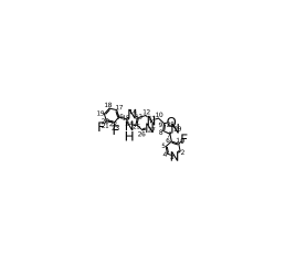 Fc1cnccc1-c1cc(CN2Cc3nc(-c4cccc(F)c4F)[nH]c3C=N2)on1